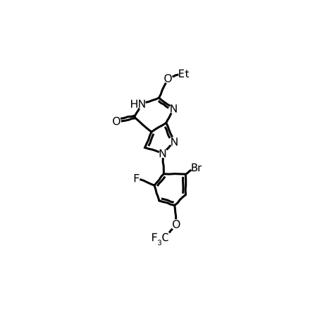 CCOc1nc2nn(-c3c(F)cc(OC(F)(F)F)cc3Br)cc2c(=O)[nH]1